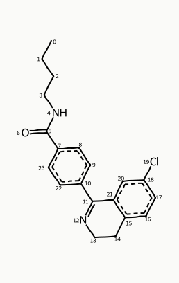 CCCCNC(=O)c1ccc(C2=NCCc3ccc(Cl)cc32)cc1